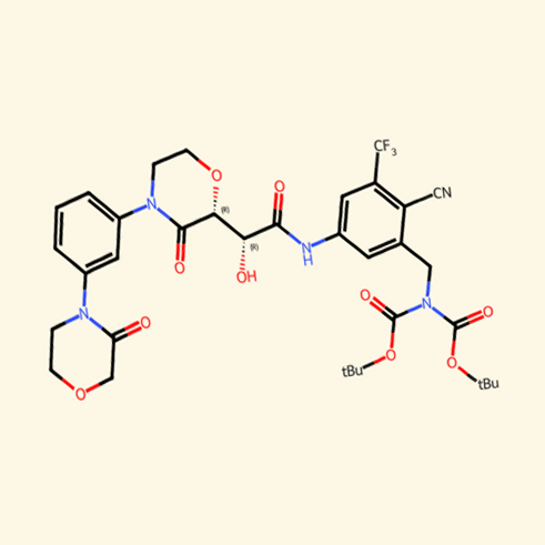 CC(C)(C)OC(=O)N(Cc1cc(NC(=O)[C@H](O)[C@H]2OCCN(c3cccc(N4CCOCC4=O)c3)C2=O)cc(C(F)(F)F)c1C#N)C(=O)OC(C)(C)C